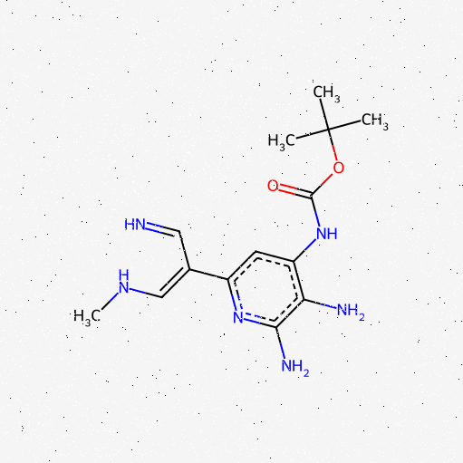 CN/C=C(\C=N)c1cc(NC(=O)OC(C)(C)C)c(N)c(N)n1